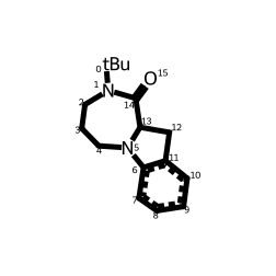 CC(C)(C)N1CCCN2c3ccccc3CC2C1=O